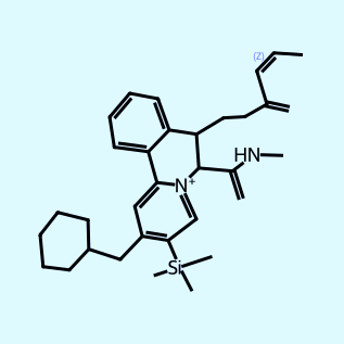 C=C(/C=C\C)CCC1c2ccccc2-c2cc(CC3CCCCC3)c([Si](C)(C)C)c[n+]2C1C(=C)NC